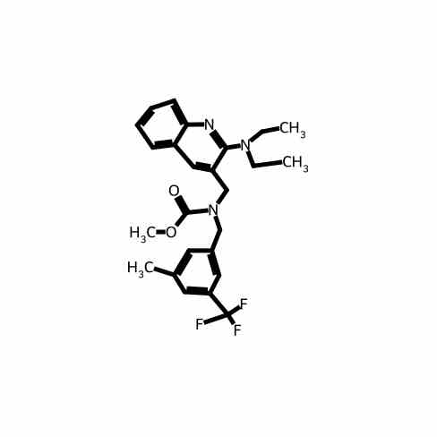 CCN(CC)c1nc2ccccc2cc1CN(Cc1cc(C)cc(C(F)(F)F)c1)C(=O)OC